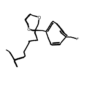 CC(C)CCCC1(c2ccc(F)cc2)OCCO1